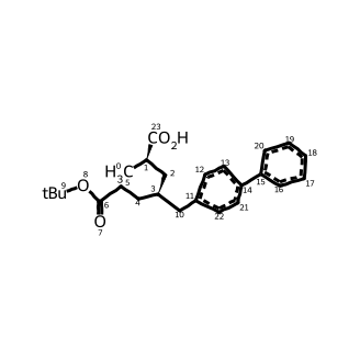 C[C@H](C[C@H](CCC(=O)OC(C)(C)C)Cc1ccc(-c2ccccc2)cc1)C(=O)O